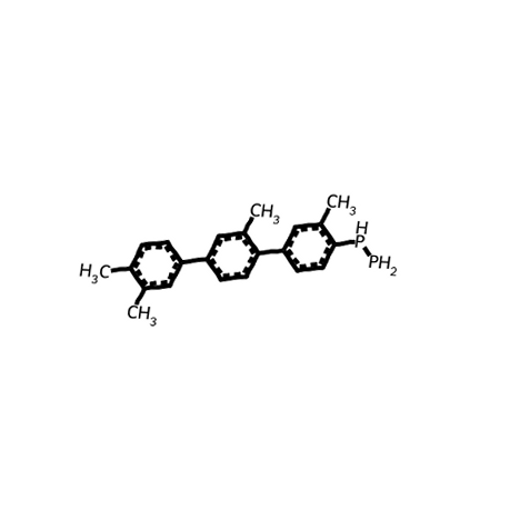 Cc1ccc(-c2ccc(-c3ccc(PP)c(C)c3)c(C)c2)cc1C